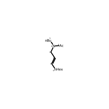 CCCCCC/C=C/CN(CCCC)C(C)=O